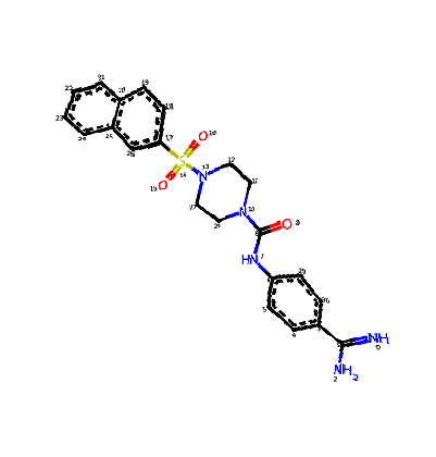 N=C(N)c1ccc(NC(=O)N2CCN(S(=O)(=O)c3ccc4ccccc4c3)CC2)cc1